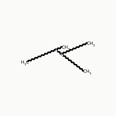 CCCCCCCCCCCCCCCCCCN(CCCC)CCCN(CCCCCCCCCCCCCCCC)CCCCCCCCCCCCCCCC